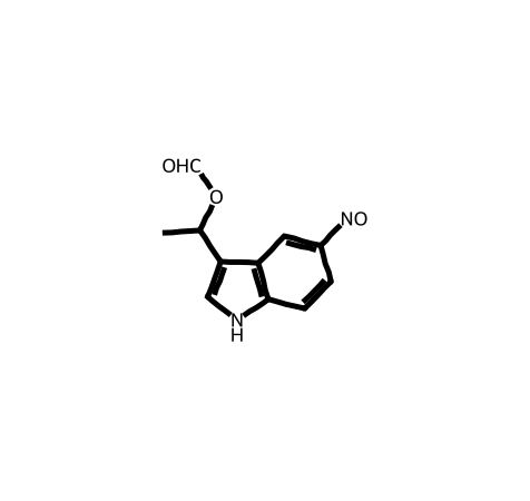 CC(OC=O)c1c[nH]c2ccc(N=O)cc12